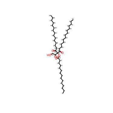 CCCCCCCCCCCCCCC(=O)OC(C(=O)CCCCCCCCCCCCCC)(C(=O)CCCCCCCCCCCCCC)C(O)CO